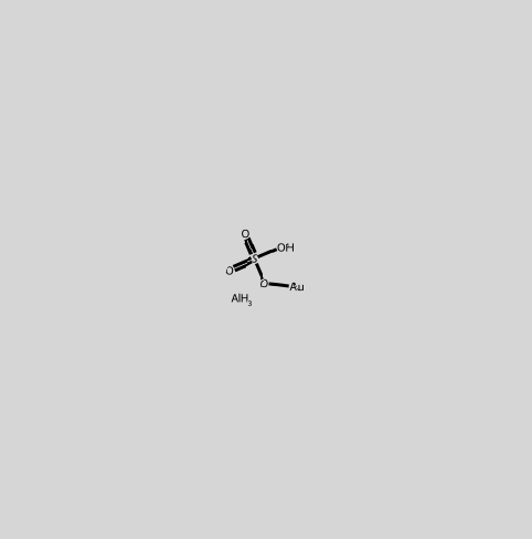 O=S(=O)(O)[O][Au].[AlH3]